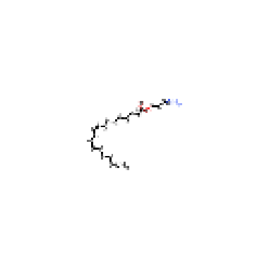 CCCCC/C=C\C/C=C\CCCCCCCC(=O)OCCCN